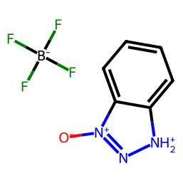 F[B-](F)(F)F.[O-][N+]1=N[NH2+]c2ccccc21